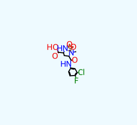 CN1C(C(=O)Nc2ccc(F)c(Cl)c2)CC(C(=O)O)NS1(=O)=O